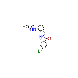 O=C(O)Nc1cccc(Cn2ncc3cc(Br)ccc3c2=O)c1